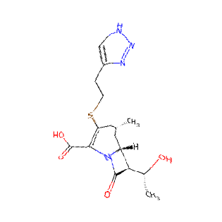 C[C@@H](O)[C@H]1C(=O)N2C(C(=O)O)=C(SCCc3c[nH]nn3)[C@H](C)[C@H]12